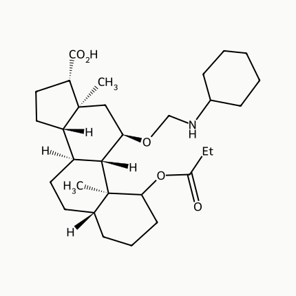 CCC(=O)OC1CCC[C@@H]2CC[C@@H]3[C@H]([C@H](OCNC4CCCCC4)C[C@]4(C)[C@@H](C(=O)O)CC[C@@H]34)[C@@]12C